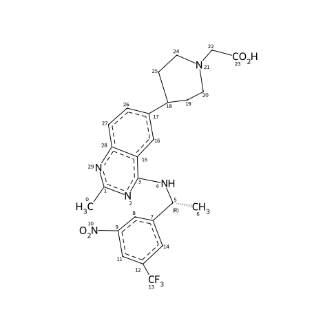 Cc1nc(N[C@H](C)c2cc([N+](=O)[O-])cc(C(F)(F)F)c2)c2cc(C3CCN(CC(=O)O)CC3)ccc2n1